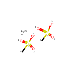 CS(=O)(=O)[O-].CS(=O)(=O)[O-].[Fe+2]